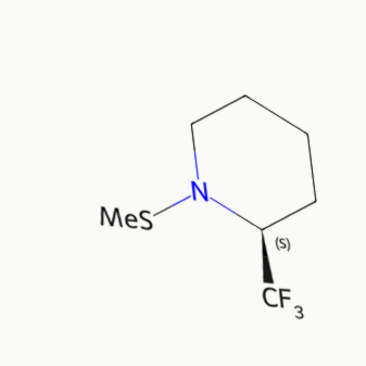 CSN1CCCC[C@H]1C(F)(F)F